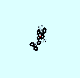 N#Cc1ccc(-n2c3ccccc3c3ccccc32)cc1-c1ccc(-c2ccccc2-n2c3ccccc3c3cccc(C#N)c32)cc1